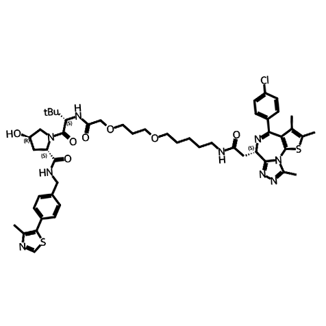 Cc1ncsc1-c1ccc(CNC(=O)[C@@H]2C[C@@H](O)CN2C(=O)[C@@H](NC(=O)COCCCOCCCCCNC(=O)C[C@@H]2N=C(c3ccc(Cl)cc3)c3c(sc(C)c3C)-n3c(C)nnc32)C(C)(C)C)cc1